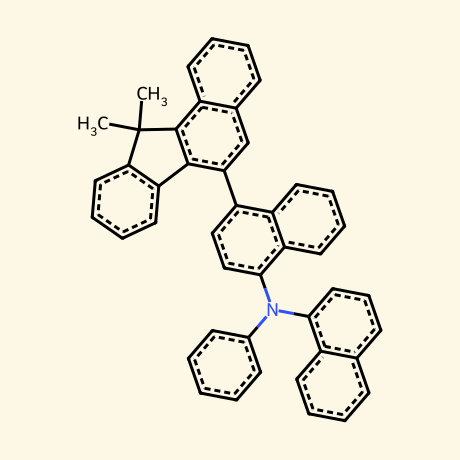 CC1(C)c2ccccc2-c2c(-c3ccc(N(c4ccccc4)c4cccc5ccccc45)c4ccccc34)cc3ccccc3c21